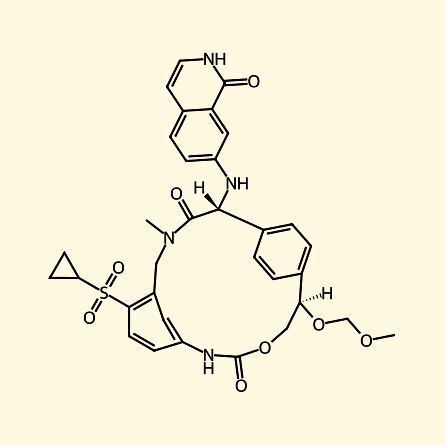 COCO[C@H]1COC(=O)Nc2ccc(S(=O)(=O)C3CC3)c(c2)CN(C)C(=O)[C@H](Nc2ccc3cc[nH]c(=O)c3c2)c2ccc1cc2